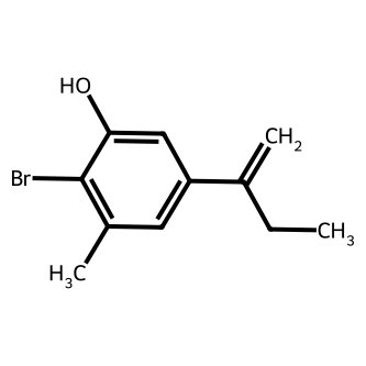 C=C(CC)c1cc(C)c(Br)c(O)c1